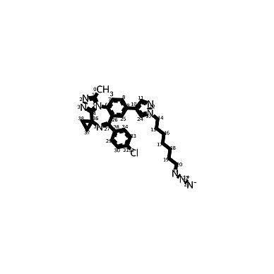 Cc1nnc2n1-c1ccc(-c3cnn(CCCCCCCN=[N+]=[N-])c3)cc1C(c1ccc(Cl)cc1)=NC21CC1